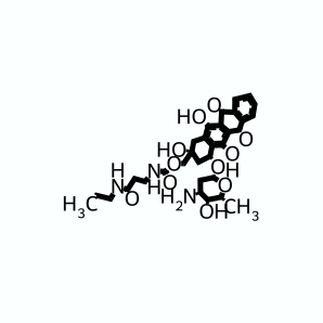 CCCNC(=O)CCNC(=O)OC[C@]1(O)Cc2c(O)c3c(c(O)c2[C@@H](O[C@H]2C[C@H](N)[C@H](O)[C@H](C)O2)C1)C(=O)c1ccccc1C3=O